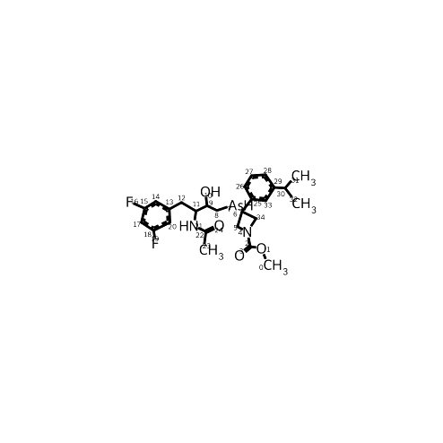 COC(=O)N1CC([AsH]CC(O)C(Cc2cc(F)cc(F)c2)NC(C)=O)(c2cccc(C(C)C)c2)C1